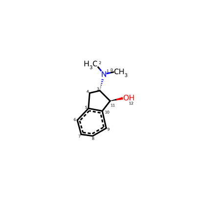 CN(C)[C@H]1Cc2ccccc2[C@@H]1O